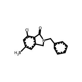 Bc1cc(Cl)c2c(c1)CN(Cc1ccccc1)C2=O